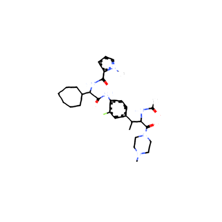 CCC(=O)NC(C(=O)N1CCN(C)CC1)C(C)c1ccc(NC(=O)C(NC(=O)c2cccn2CC)C2CCCCCC2)c(F)c1